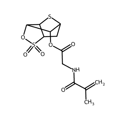 C=C(C)C(=O)NCC(=O)OC1C2CC3C(S2)C1OS3(=O)=O